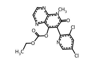 CCOC(=O)Oc1c(-c2ncc(Cl)cc2Cl)c(=O)n(C)c2nccnc12